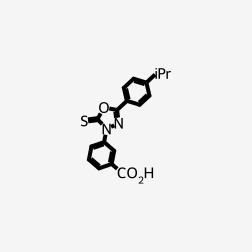 CC(C)c1ccc(-c2nn(-c3cccc(C(=O)O)c3)c(=S)o2)cc1